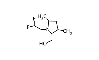 CC1CC(C)N(CC(F)F)[C@H]1CO